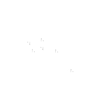 Cc1nnn(-c2ccc(C#N)cn2)n1